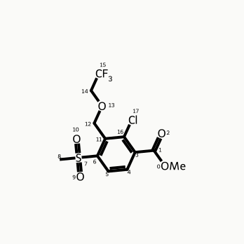 COC(=O)c1ccc(S(C)(=O)=O)c(COCC(F)(F)F)c1Cl